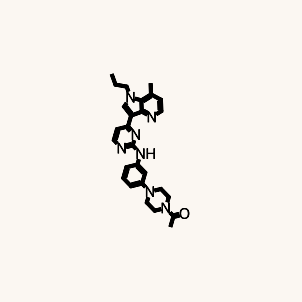 CCCn1cc(-c2ccnc(Nc3cccc(N4CCN(C(C)=O)CC4)c3)n2)c2nccc(C)c21